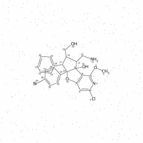 COc1nc(Cl)cc2c1C1(O)C(CN)C(CO)C(c3ccccc3)C1(c1ccc(Br)cc1)O2